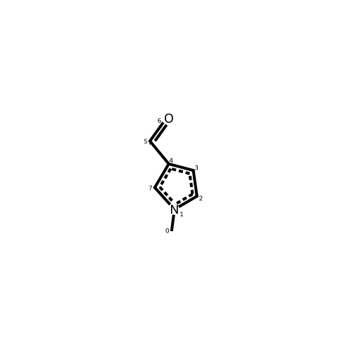 Cn1ccc([C]=O)c1